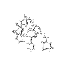 CS(=O)(=O)c1nc(N)c2ncc([C@@H]3O[C@H](COCc4ccccc4)[C@@H](OCc4ccccc4)[C@H]3OCc3ccccc3)n2n1